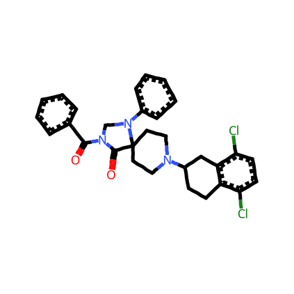 O=C(c1ccccc1)N1CN(c2ccccc2)C2(CCN(C3CCc4c(Cl)ccc(Cl)c4C3)CC2)C1=O